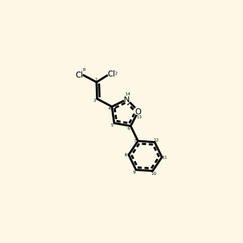 ClC(Cl)=Cc1cc(-c2ccccc2)on1